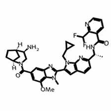 COc1cc(C(=O)N2C[C@H](N)[C@@H]3CC[C@H]2C3)cc2nc(-c3cc4ccc([C@@H](C)NC(=O)c5cccnc5C(F)F)nc4n3CC3CC3)n(C)c12